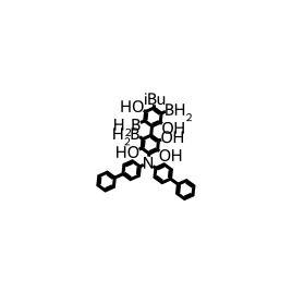 Bc1c(O)c(C(C)CC)c(B)c(O)c1-c1c(B)c(O)c(N(c2ccc(-c3ccccc3)cc2)c2ccc(-c3ccccc3)cc2)c(O)c1O